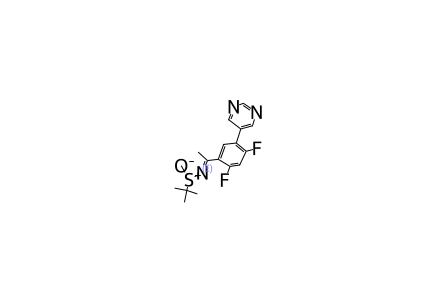 C/C(=N\[S+]([O-])C(C)(C)C)c1cc(-c2cncnc2)c(F)cc1F